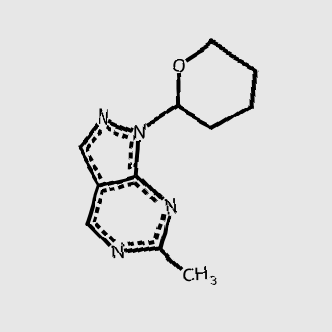 Cc1ncc2cnn(C3CCCCO3)c2n1